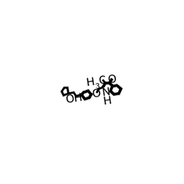 Cc1c(COc2ccc(CCC3(O)CCCC3)cc2)[nH]c2ccccc2c1=O